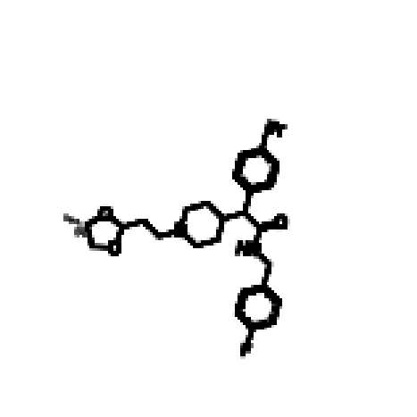 CC(C)c1ccc(C(C(=O)NCc2ccc(F)cc2)C2CCN(CCC3OC[C@H](C)O3)CC2)cc1